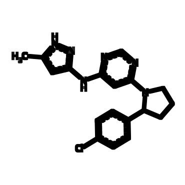 Cc1cc(Nc2cc(N3CCCC3c3ccc(Cl)cc3)ncn2)n[nH]1